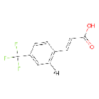 [2H]c1cc(C(F)(F)F)ccc1C=CC(=O)O